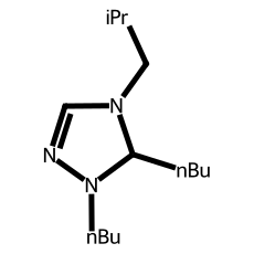 CCCCC1N(CC(C)C)C=NN1CCCC